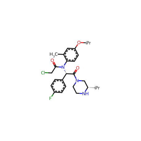 Cc1cc(OC(C)C)ccc1N(C(=O)CCl)[C@H](C(=O)N1CCN[C@@H](C(C)C)C1)c1ccc(F)cc1